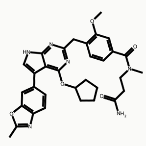 COc1cc(C(=O)N(C)CCC(N)=O)ccc1Cc1nc(OC2CCCC2)c2c(-c3ccc4nc(C)oc4c3)c[nH]c2n1